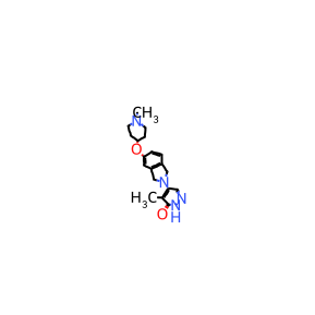 Cc1c(N2Cc3ccc(OC4CCN(C)CC4)cc3C2)cn[nH]c1=O